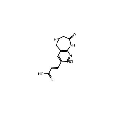 Cl.O=C(O)C=Cc1cnc2c(c1)CNCC(=O)N2